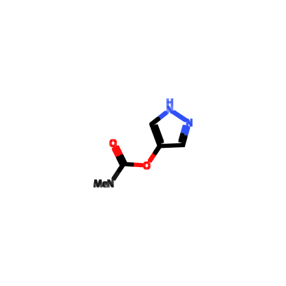 CNC(=O)Oc1cn[nH]c1